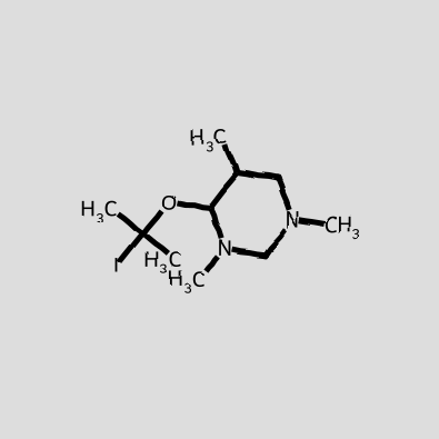 CC1CN(C)CN(C)C1OC(C)(C)I